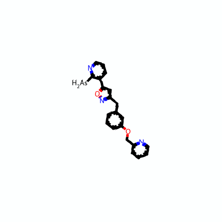 [AsH2]c1ncccc1-c1cc(Cc2cccc(OCc3ccccn3)c2)no1